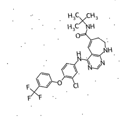 CC(C)(C)NC(=O)C1=Cc2c(ncnc2Nc2ccc(Oc3cccc(C(F)(F)F)c3)c(Cl)c2)NCC1